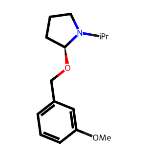 COc1cccc(CO[C@H]2CCCN2C(C)C)c1